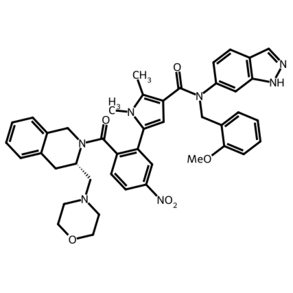 COc1ccccc1CN(C(=O)c1cc(-c2cc([N+](=O)[O-])ccc2C(=O)N2Cc3ccccc3C[C@H]2CN2CCOCC2)n(C)c1C)c1ccc2cn[nH]c2c1